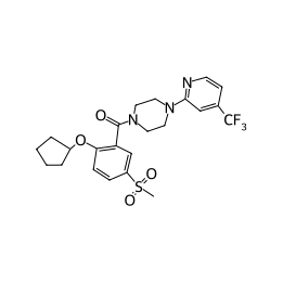 CS(=O)(=O)c1ccc(OC2CCCC2)c(C(=O)N2CCN(c3cc(C(F)(F)F)ccn3)CC2)c1